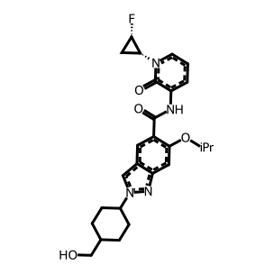 CC(C)Oc1cc2nn(C3CCC(CO)CC3)cc2cc1C(=O)Nc1cccn([C@@H]2C[C@@H]2F)c1=O